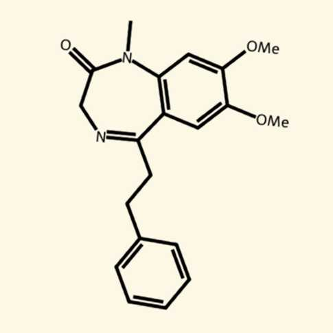 COc1cc2c(cc1OC)N(C)C(=O)CN=C2CCc1ccccc1